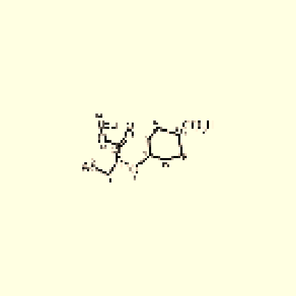 CC(=O)CN(O[C@H]1CC[C@H](C(=O)O)CC1)C(=O)OC(C)(C)C